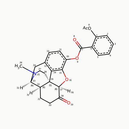 CC(=O)Oc1ccccc1C(=O)Oc1ccc2c3c1O[C@H]1C(=O)CC[C@H]4[C@@H](C2)N(C)CC[C@]314